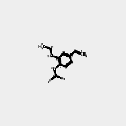 C=Cc1ccc(OC(F)F)c(OCC)c1